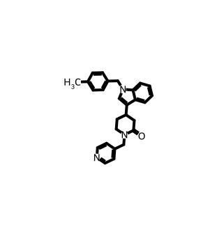 Cc1ccc(Cn2cc(C3CCN(Cc4ccncc4)C(=O)C3)c3ccccc32)cc1